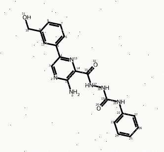 Nc1ncc(-c2cccc(CO)c2)nc1C(=O)NNC(=O)Nc1ccccc1